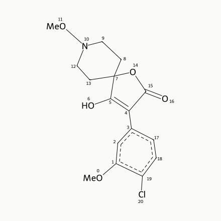 COc1cc(C2=C(O)C3(CCN(OC)CC3)OC2=O)ccc1Cl